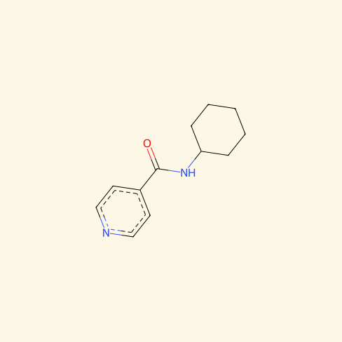 O=C(NC1CCCCC1)c1ccncc1